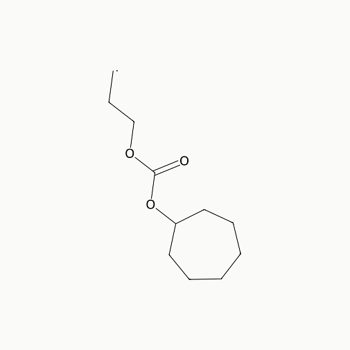 [CH2]CCOC(=O)OC1CCCCCC1